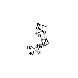 O.O.O.O.O.O.O.O=S(=O)(O)O.O[Si](O)(O)O.[Fe]